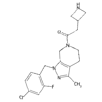 Cc1nn(Cc2ccc(Cl)cc2F)c2c1CCN(C(=O)CC1CNC1)C2